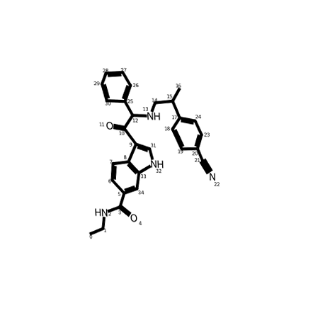 CCNC(=O)c1ccc2c(C(=O)C(NCC(C)c3ccc(C#N)cc3)c3ccccc3)c[nH]c2c1